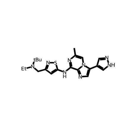 CCN(Cc1cc(Nc2nc(C)cn3c(-c4cn[nH]c4)cnc23)sn1)C(C)(C)C